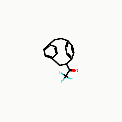 O=C(C1Cc2ccc(cc2)CCc2ccc1cc2)C(F)(F)F